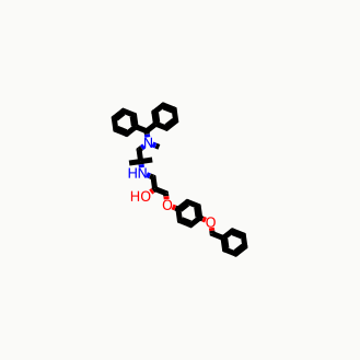 CN(CC(C)(C)NCC(O)COc1ccc(OCc2ccccc2)cc1)C(c1ccccc1)c1ccccc1